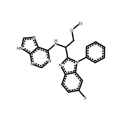 CCOCC(Nc1ncnc2[nH]cnc12)c1nc2ccc(F)cc2n1-c1ccccc1